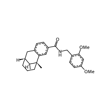 COc1ccc(CNC(=O)c2ccc3c(c2)[C@]2(C)CCC[C@H](C3)[C@@H]2C)c(OC)c1